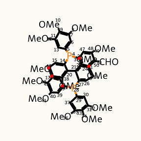 COc1cc(P(c2cc(OC)c(OC)c(OC)c2)c2cccc(OC)c2-c2c(OC)cccc2P(c2cc(OC)c(OC)c(OC)c2)c2cc(OC)c(OC)c(OC)c2)cc(OC)c1C=O